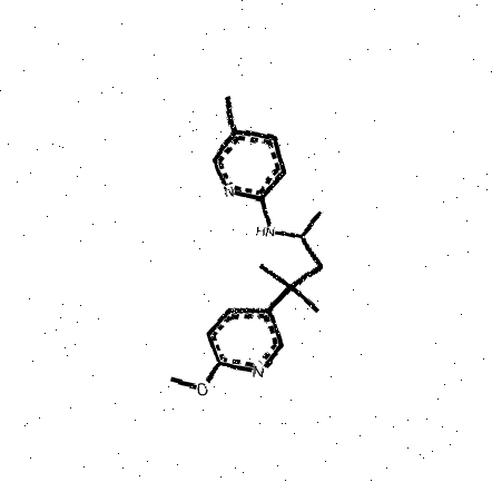 COc1ccc(C(C)(C)CC(C)Nc2ccc(C)cn2)cn1